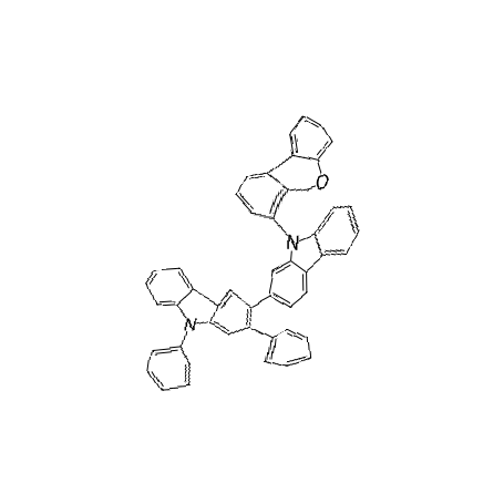 c1ccc(-c2cc3c(cc2-c2ccc4c5ccccc5n(-c5cccc6c5oc5ccccc56)c4c2)c2ccccc2n3-c2ccccc2)cc1